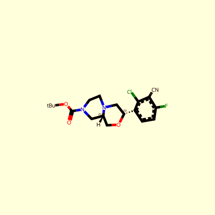 CC(C)(C)OC(=O)N1CCN2C[C@H](c3ccc(F)c(C#N)c3Cl)OC[C@@H]2C1